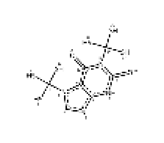 O=c1[nH]c2ncn(C(S)(S)S)c2c(=O)n1C(S)(S)S